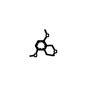 COc1ccc(OC)c2c1C[CH]OC2